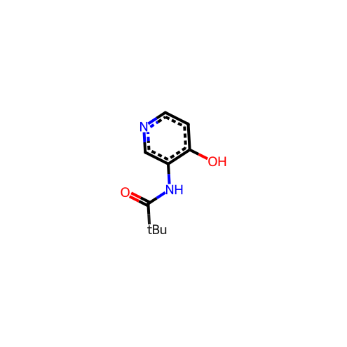 CC(C)(C)C(=O)Nc1cnccc1O